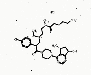 CC(C)N(CCN(C)C(=O)COCCN)CC(C(=O)N1CCN(c2ncnc3c2[C@H](C)C[C@H]3O)CC1)c1ccc(Cl)cc1.Cl